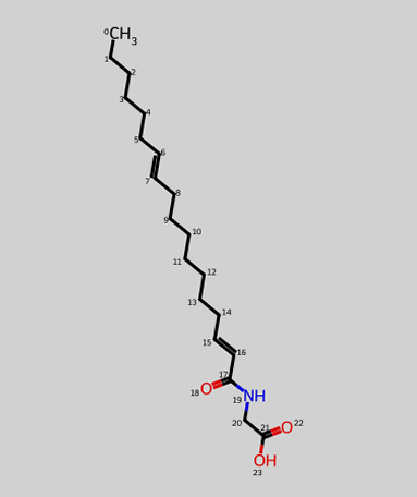 CCCCCC/C=C/CCCCCCC/C=C/C(=O)NCC(=O)O